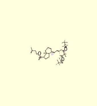 C=C(C)CCO[C@H](C)C1CCC2/C(=C/C=C3C[C@@H](O[Si](C)(C)C(C)(C)C)C4(CC4)[C@H](O[Si](C)(C)C(C)(C)C)C3)CCCC21C